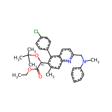 CCOC(=O)[C@@H](OC(C)(C)C)c1c(C)cc2nc(CN(C)c3ccccc3)ccc2c1-c1ccc(Cl)cc1